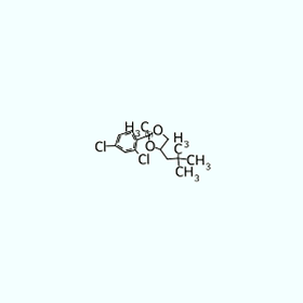 CC(C)(C)CC1CO[C@](C)(c2ccc(Cl)cc2Cl)O1